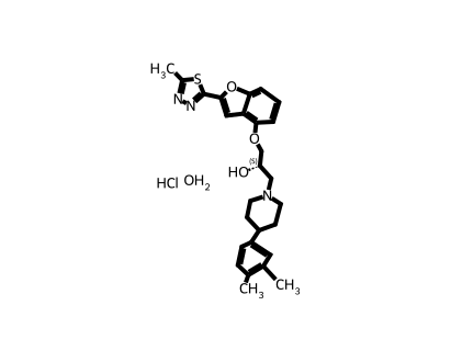 Cc1nnc(-c2cc3c(OC[C@@H](O)CN4CCC(c5ccc(C)c(C)c5)CC4)cccc3o2)s1.Cl.O